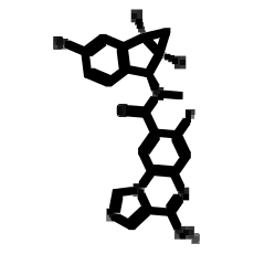 CN(C(=O)c1cc2c(cc1F)nc(N)c1cncn12)[C@H]1c2ccc(Br)cc2[C@H]2C[C@H]21